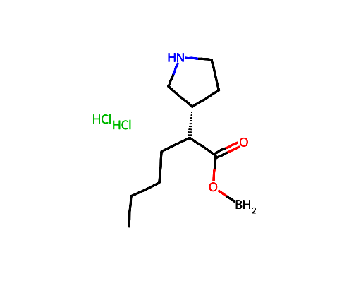 BOC(=O)C(CCCC)[C@H]1CCNC1.Cl.Cl